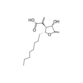 C=C(C(=O)O)[C@@H]1[C@@H](CCCCCCCC)OC(=C)[C@@H]1O